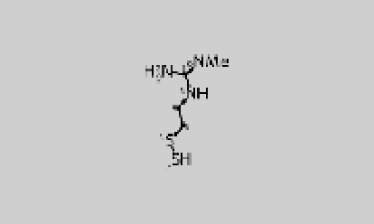 CNC(N)NCCSS